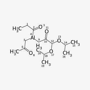 CC[C](=O)[Al]([CH2]C(C)=O)[CH2]C(=O)C(OC(C)C)OC(C)C